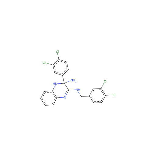 NC1(c2ccc(Cl)c(Cl)c2)Nc2ccccc2N=C1NCc1ccc(Cl)c(Cl)c1